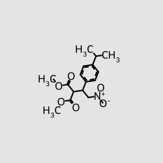 COC(=O)C(C(=O)OC)C(C[N+](=O)[O-])c1ccc(C(C)C)cc1